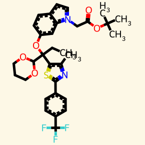 CCC(Oc1ccc2ccn(CC(=O)OC(C)(C)C)c2c1)(c1sc(-c2ccc(C(F)(F)F)cc2)nc1C)C1OCCCO1